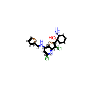 N[C@H]1CCCC[C@]1(O)c1sc2c(NCc3cccs3)cc(Cl)nc2c1Cl